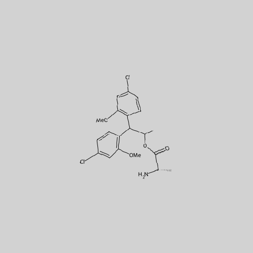 COc1cc(Cl)ccc1C(c1ccc(Cl)cc1OC)C(C)OC(=O)[C@H](C)N